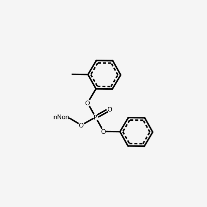 CCCCCCCCCOP(=O)(Oc1ccccc1)Oc1ccccc1C